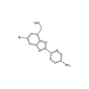 Nc1ccc(-c2nc3cc(Br)cc(CC=O)c3o2)nc1